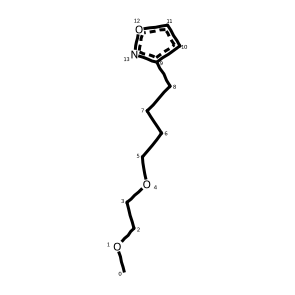 COCCOCCCCc1ccon1